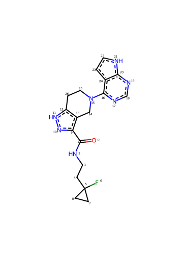 O=C(NCCC1(F)CC1)c1n[nH]c2c1CN(c1ncnc3[nH]ccc13)CC2